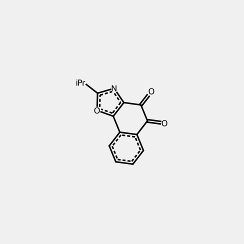 CC(C)c1nc2c(o1)-c1ccccc1C(=O)C2=O